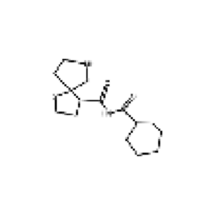 O=C(NC(=O)C1CCSC12CCNC2)C1CCCCC1